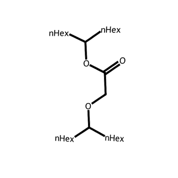 CCCCCCC(CCCCCC)OCC(=O)OC(CCCCCC)CCCCCC